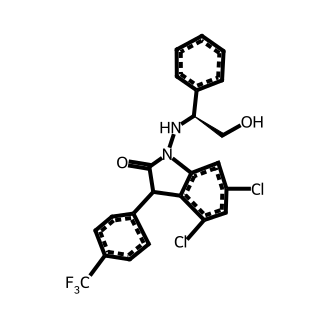 O=C1C(c2ccc(C(F)(F)F)cc2)c2c(Cl)cc(Cl)cc2N1N[C@H](CO)c1ccccc1